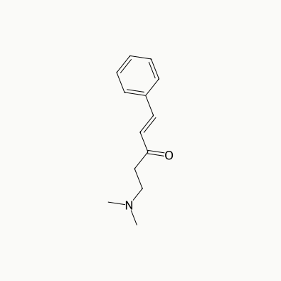 CN(C)CCC(=O)C=Cc1ccccc1